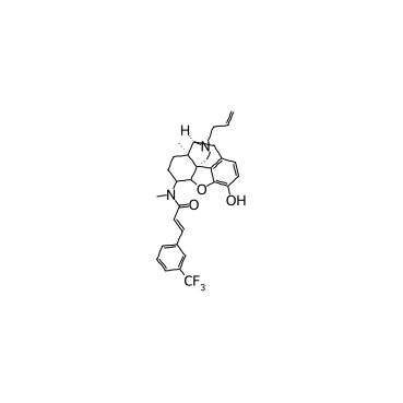 C=CCN1CC[C@]23c4c5ccc(O)c4OC2C(N(C)C(=O)/C=C/c2cccc(C(F)(F)F)c2)CC[C@@]3(C)[C@H]1C5